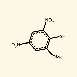 COc1cc([N+](=O)[O-])cc([N+](=O)[O-])c1S